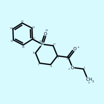 CCOC(=O)C1CCCP(=O)(c2ccccc2)C1